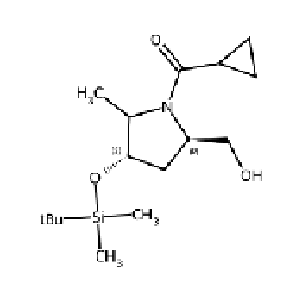 CC1[C@@H](O[Si](C)(C)C(C)(C)C)C[C@H](CO)N1C(=O)C1CC1